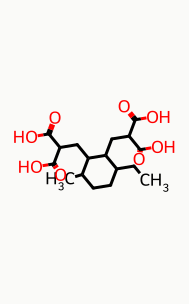 CCC1CCC(C)C(CC(C(=O)O)C(=O)O)C1CC(C(=O)O)C(=O)O